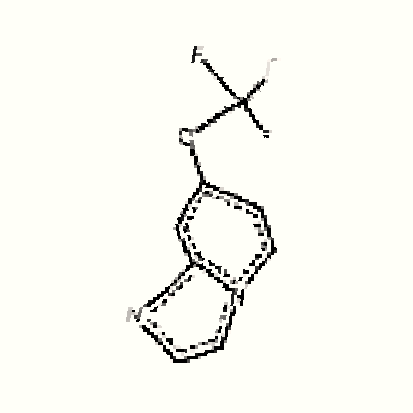 FC(F)(F)Oc1ccn2ccnc2c1